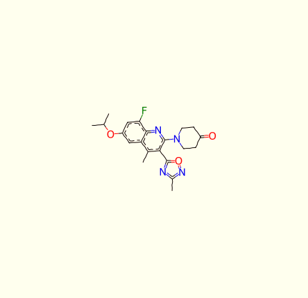 Cc1noc(-c2c(N3CCC(=O)CC3)nc3c(F)cc(OC(C)C)cc3c2C)n1